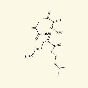 C=C(C)C(=O)OC.C=C(C)C(=O)OCCCC.C=C(CC=CC(=O)O)C(=O)OCCN(C)C